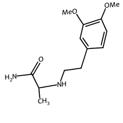 COc1ccc(CCNC(C)C(N)=O)cc1OC